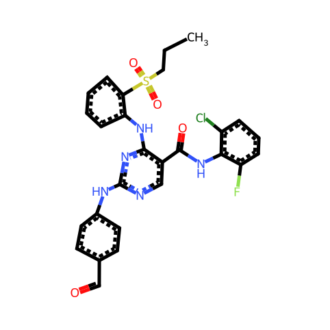 CCCS(=O)(=O)c1ccccc1Nc1nc(Nc2ccc(C=O)cc2)ncc1C(=O)Nc1c(F)cccc1Cl